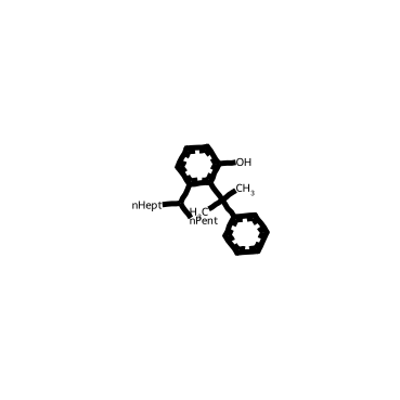 CCCCCCCC(CCCCC)c1cccc(O)c1C(C)(C)c1ccccc1